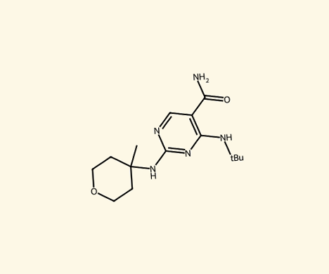 CC(C)(C)Nc1nc(NC2(C)CCOCC2)ncc1C(N)=O